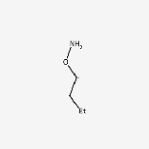 CCC[CH]ON